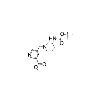 COC(=O)c1cncc(CN2CCC[C@@H](NC(=O)OC(C)(C)C)C2)c1